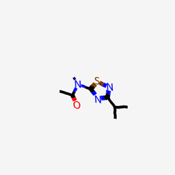 CC(=O)N(C)c1nc(C(C)C)ns1